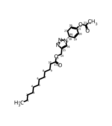 CCCCCCCCCCCC(=O)OCc1cn([C@H]2C=CC(OC(C)=O)=CC2)nn1